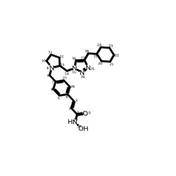 O=C(C=Cc1ccc(CN2CCCC2Cn2cc(CC3CCCCC3)nn2)cc1)NO